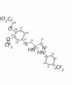 C/C(=N/Nc1ccc(C(F)(F)F)cc1)C(=N)CSc1ccc(OCC(=O)O)c(OC(F)(F)F)c1